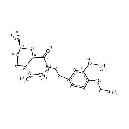 CCOc1ccc(CCNC(=O)[C@@H]2C[C@H](C)CC[C@H]2C(C)C)cc1OC